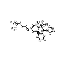 CN(C)CCCOc1cc(F)c(-c2c(Cl)nc3nccn3c2-c2ccccc2)c(F)c1